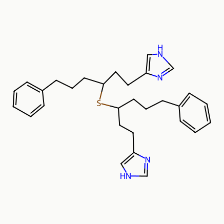 c1ccc(CCCC(CCc2c[nH]cn2)SC(CCCc2ccccc2)CCc2c[nH]cn2)cc1